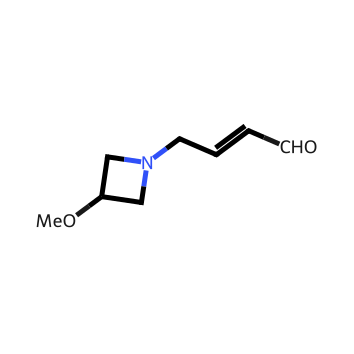 COC1CN(CC=CC=O)C1